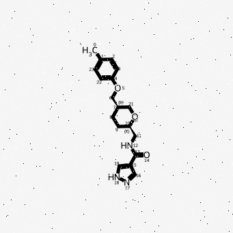 Cc1ccc(OC[C@@H]2CC[C@H](CNC(=O)c3cn[nH]c3)OC2)cc1